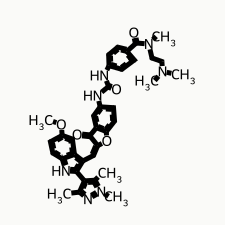 COc1ccc2[nH]c(-c3c(C)nn(C)c3C)c(C=C3Oc4ccc(NC(=O)Nc5ccc(C(=O)N(C)CCN(C)C)cc5)cc4C3=O)c2c1